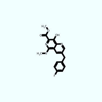 COC(=O)c1nc(SC)c2cc(Cc3ccc(F)cc3)cnc2c1O